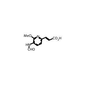 COc1nc(C=CC(=O)O)ccc1NC=O